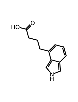 O=C(O)CCCc1cccc2c[nH]cc12